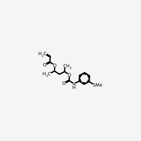 C=CC(=O)OC(C)CC(C)OC(=O)Nc1cccc(SC)c1